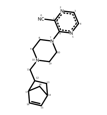 N#Cc1nccnc1N1CCN(CC2CC3C=CC2C3)CC1